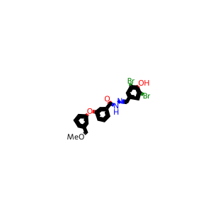 COCc1cccc(Oc2cccc(C(=O)NN=Cc3cc(Br)c(O)c(Br)c3)c2)c1